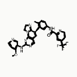 COc1ccncc1Nc1ncc2c(n1)N1CCN=C1C(c1cc(NC(=O)c3cc(C(F)(F)F)ccn3)ccc1C)=C2